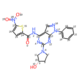 O=C(Nc1nc(N2CC[C@H](O)C2)nc2c1cnn2-c1ccccc1)c1ccc([N+](=O)[O-])s1